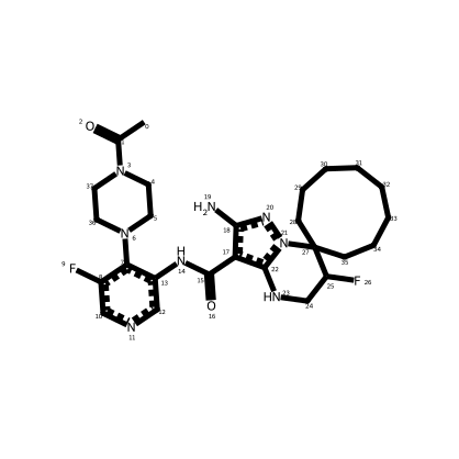 CC(=O)N1CCN(c2c(F)cncc2NC(=O)c2c(N)nn3c2NCC(F)C32CCCCCCCC2)CC1